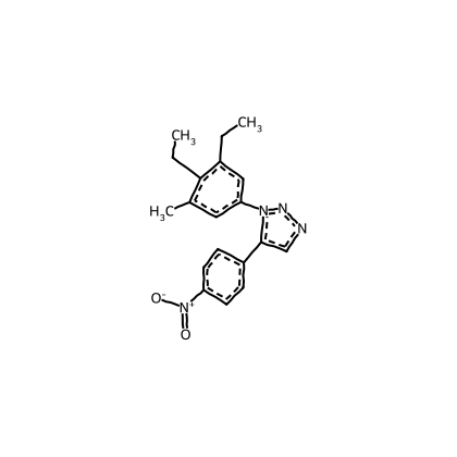 CCc1cc(-n2nncc2-c2ccc([N+](=O)[O-])cc2)cc(C)c1CC